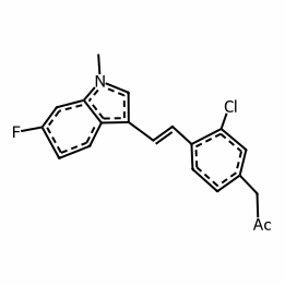 CC(=O)Cc1ccc(/C=C/c2cn(C)c3cc(F)ccc23)c(Cl)c1